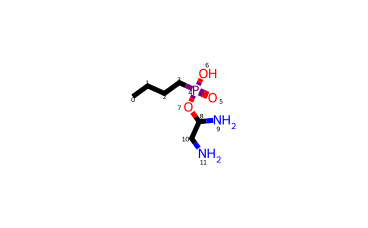 CCCCP(=O)(O)OC(N)CN